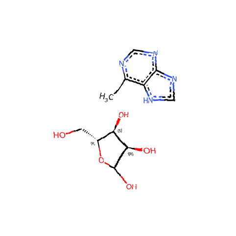 Cc1ncnc2nc[nH]c12.OC[C@H]1OC(O)[C@H](O)[C@@H]1O